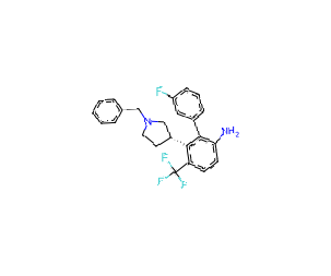 Nc1ccc(C(F)(F)F)c([C@@H]2CCN(Cc3ccccc3)C2)c1-c1cccc(F)c1